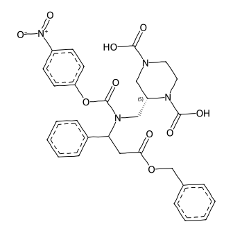 O=C(CC(c1ccccc1)N(C[C@@H]1CN(C(=O)O)CCN1C(=O)O)C(=O)Oc1ccc([N+](=O)[O-])cc1)OCc1ccccc1